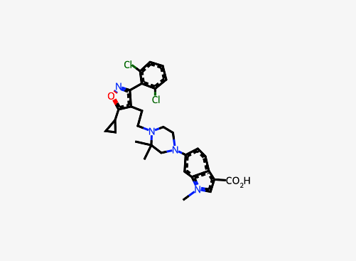 Cn1cc(C(=O)O)c2ccc(N3CCN(CCc4c(-c5c(Cl)cccc5Cl)noc4C4CC4)C(C)(C)C3)cc21